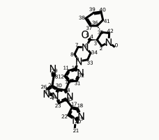 CN1C[C@@H](C(=O)N2CCN(c3ccc(-c4nc(-c5cnn(C)c5)cn5ncc(C#N)c45)cn3)CC2)[C@H](C2C=CC=CC2)C1